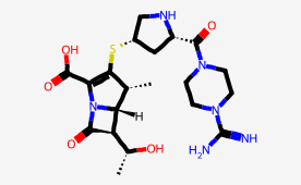 C[C@@H](O)[C@H]1C(=O)N2C(C(=O)O)=C(S[C@@H]3CN[C@H](C(=O)N4CCN(C(=N)N)CC4)C3)[C@H](C)[C@H]12